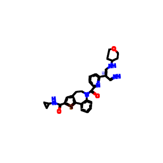 N=C/C(=C\NC1CCOCC1)c1cccc(C(=O)N2CCc3cc(C(=O)NC4CC4)sc3-c3ccccc32)n1